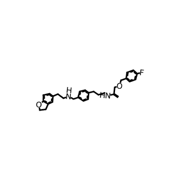 C=C(COCc1ccc(F)cc1)NCCCc1ccc(CNCCc2ccc3c(c2)CCO3)cc1